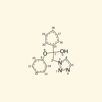 OC(Cn1ccnn1)(Oc1ccccc1)c1ccccc1